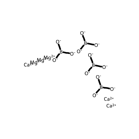 [Ca+2].[Ca+2].[Ca+2].[Mg+2].[Mg+2].[Mg+2].[O-]B([O-])[O-].[O-]B([O-])[O-].[O-]B([O-])[O-].[O-]B([O-])[O-]